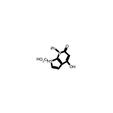 CC(C)n1c2c(c(O)cc1=O)C=C[SH]2C(=O)O